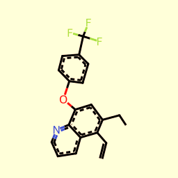 C=Cc1c(CC)cc(Oc2ccc(C(F)(F)F)cc2)c2ncccc12